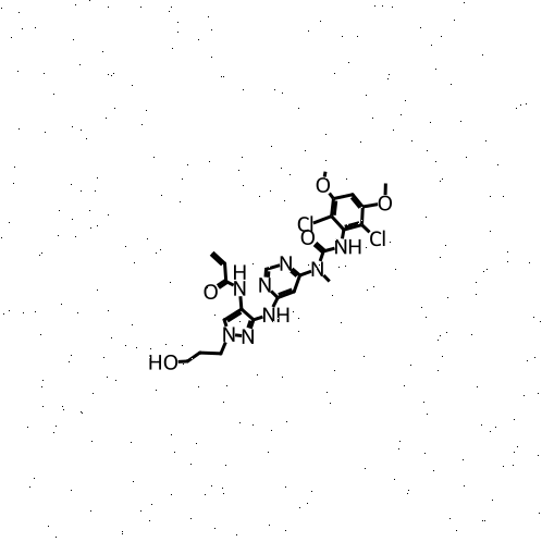 C=CC(=O)Nc1cn(CCCO)nc1Nc1cc(N(C)C(=O)Nc2c(Cl)c(OC)cc(OC)c2Cl)ncn1